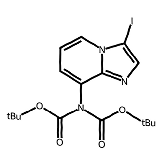 CC(C)(C)OC(=O)N(C(=O)OC(C)(C)C)c1cccn2c(I)cnc12